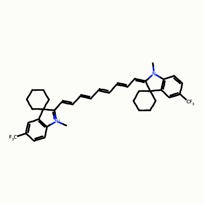 CN1/C(=C/C=C/C=C/C=C/C=C/C2=[N+](C)c3ccc(C(F)(F)F)cc3C23CCCCC3)C2(CCCCC2)c2cc(C(F)(F)F)ccc21